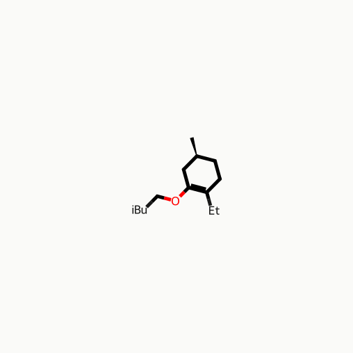 CCC1=C(OCC(C)CC)C[C@@H](C)CC1